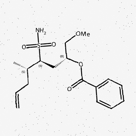 C=CC[C@H](C)[C@H](C[C@H](COC)OC(=O)c1ccccc1)S(N)(=O)=O